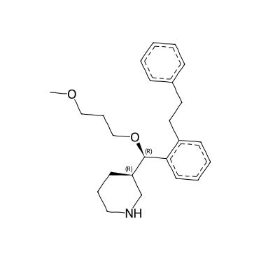 COCCCO[C@@H](c1ccccc1CCc1ccccc1)[C@@H]1CCCNC1